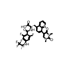 C[C@@H](Nc1cc(F)c(C(=O)N[C@@H](Cc2ccc(-c3cn(C)c(=O)n(C)c3=O)c3ncccc23)C(=O)O)c(F)c1)C(F)(F)F